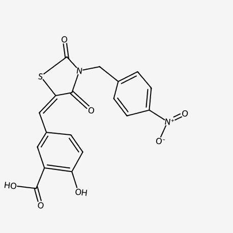 O=C(O)c1cc(C=C2SC(=O)N(Cc3ccc([N+](=O)[O-])cc3)C2=O)ccc1O